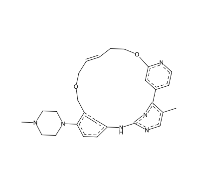 Cc1cnc2nc1-c1ccnc(c1)OCC/C=C/COCc1cc(ccc1N1CCN(C)CC1)N2